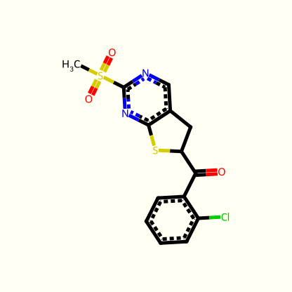 CS(=O)(=O)c1ncc2c(n1)SC(C(=O)c1ccccc1Cl)C2